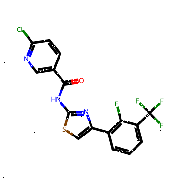 O=C(Nc1nc(-c2cccc(C(F)(F)F)c2F)cs1)c1ccc(Cl)nc1